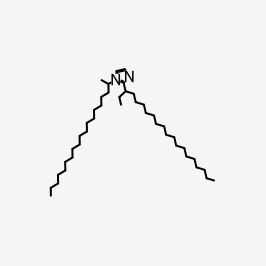 CCCCCCCCCCCCCCCCCC(CC)c1nccn1C(C)CCCCCCCCCCCCCCCCC